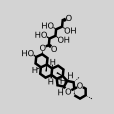 C[C@@H]1CC[C@]2(OC1)O[C@H]1C[C@H]3[C@@H]4CC[C@H]5C[C@@H](O)[C@H](OC(=O)[C@@H](O)[C@@H](O)[C@H](O)[C@@H](O)C=O)C[C@]5(C)[C@H]4CC[C@]3(C)[C@H]1[C@@H]2C